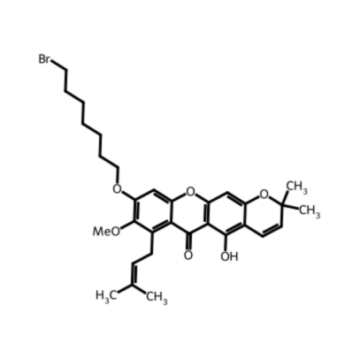 COc1c(OCCCCCCCBr)cc2oc3cc4c(c(O)c3c(=O)c2c1CC=C(C)C)C=CC(C)(C)O4